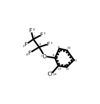 FC(F)(F)C(F)(F)Oc1[c]cccc1Cl